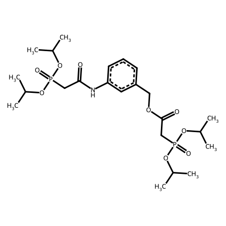 CC(C)OP(=O)(CC(=O)Nc1cccc(COC(=O)CP(=O)(OC(C)C)OC(C)C)c1)OC(C)C